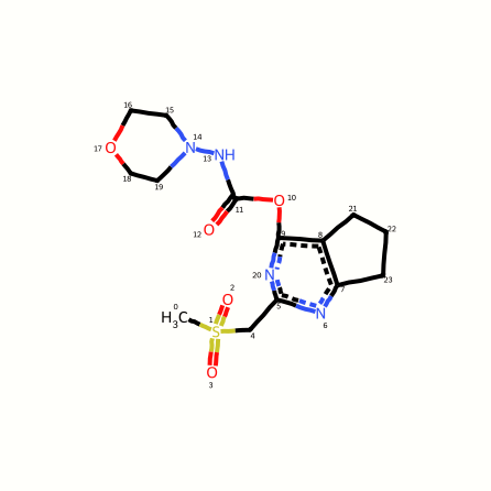 CS(=O)(=O)Cc1nc2c(c(OC(=O)NN3CCOCC3)n1)CCC2